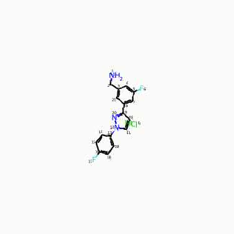 Cl.NCc1cc(F)cc(-c2ccn(-c3ccc(F)cc3)n2)c1